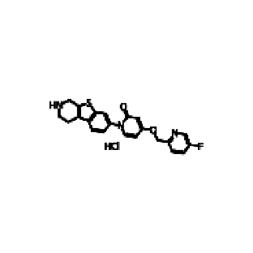 Cl.O=c1cc(OCc2ccc(F)cn2)ccn1-c1ccc2c3c(sc2c1)CNCC3